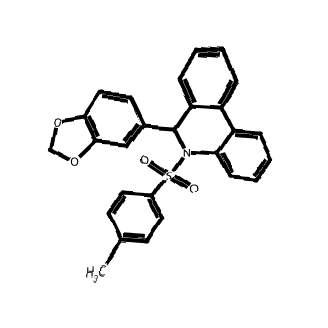 Cc1ccc(S(=O)(=O)N2c3ccccc3-c3ccccc3C2c2ccc3c(c2)OCO3)cc1